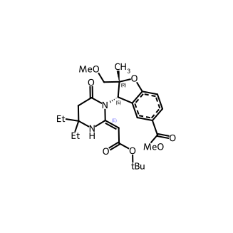 CCC1(CC)CC(=O)N([C@H]2c3cc(C(=O)OC)ccc3O[C@@]2(C)COC)/C(=C/C(=O)OC(C)(C)C)N1